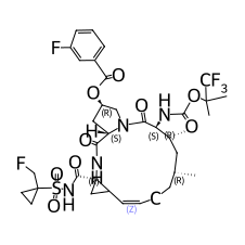 C[C@@H]1CC/C=C\C2C[C@@]2(C(=O)NS(=O)(=O)C2(CF)CC2)NC(=O)[C@@H]2C[C@@H](OC(=O)c3cccc(F)c3)CN2C(=O)[C@@H](NC(=O)OC(C)(C)C(F)(F)F)[C@H](C)C1